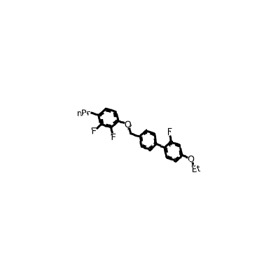 CCCc1ccc(OCc2ccc(-c3ccc(OCC)cc3F)cc2)c(F)c1F